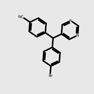 N#Cc1ccc(C(c2ccc(Br)cc2)c2cncnc2)cc1